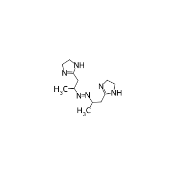 CC(CC1=NCCN1)/N=N/C(C)CC1=NCCN1